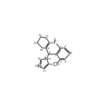 Fc1cccc(Cl)c1C(C1=CCCCC1)n1ccnc1